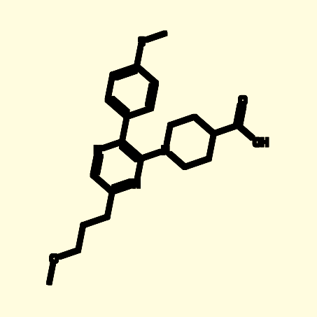 COCCCc1cnc(-c2ccc(SC)cc2)c(N2CCC(C(=O)O)CC2)n1